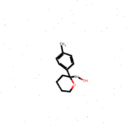 Cc1ccc([C]2([Sn][OH])CCCCO2)cc1